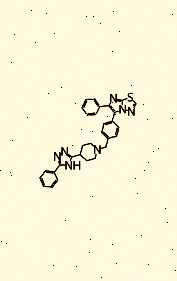 c1ccc(-c2nnc(C3CCN(Cc4ccc(-c5c(-c6ccccc6)nc6scnn56)cc4)CC3)[nH]2)cc1